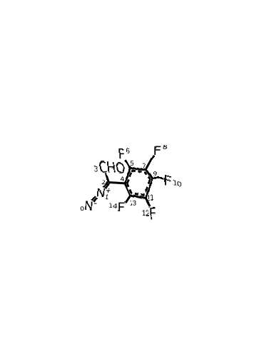 [N-]=[N+]=C(C=O)c1c(F)c(F)c(F)c(F)c1F